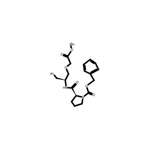 CC(C)C[C@@H](COCC(=O)OC(C)(C)C)NC(=O)[C@@H]1CCCN1C(=O)OCc1ccccc1